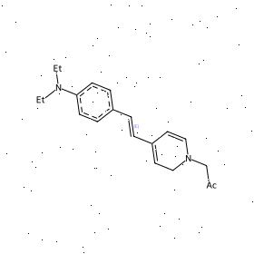 CCN(CC)c1ccc(/C=C/C2=CCN(CC(C)=O)C=C2)cc1